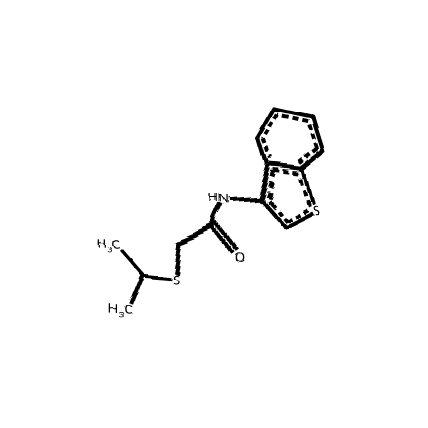 CC(C)SCC(=O)Nc1csc2ccccc12